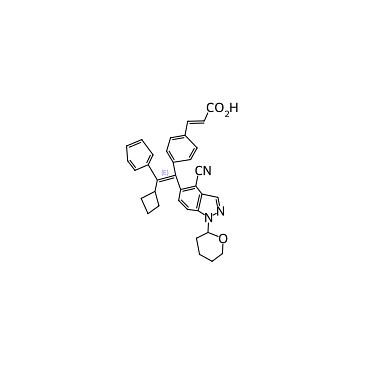 N#Cc1c(/C(=C(/c2ccccc2)C2CCC2)c2ccc(C=CC(=O)O)cc2)ccc2c1cnn2C1CCCCO1